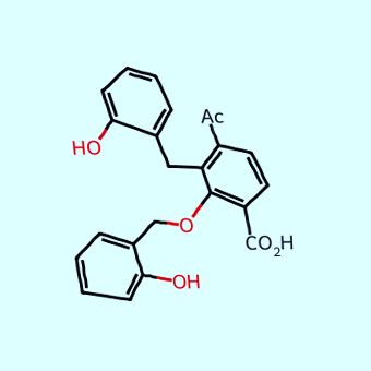 CC(=O)c1ccc(C(=O)O)c(OCc2ccccc2O)c1Cc1ccccc1O